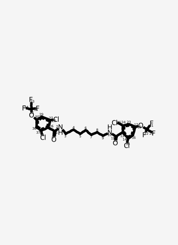 O=C(NCCCCCCCNC(=O)c1c(Cl)cc(OC(F)(F)F)cc1Cl)c1c(Cl)cc(OC(F)(F)F)cc1Cl